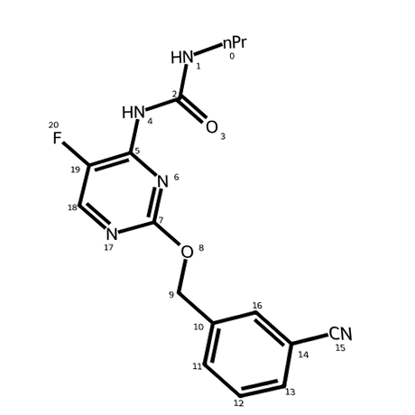 CCCNC(=O)Nc1nc(OCc2cccc(C#N)c2)ncc1F